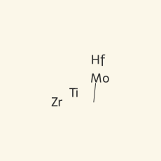 [CH3][Mo].[Hf].[Ti].[Zr]